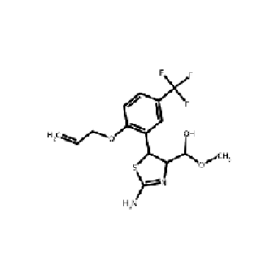 C=CCOc1ccc(C(F)(F)F)cc1C1SC(N)=NC1C(O)OC